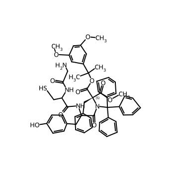 COC(=O)[C@@](Cc1ccccc1)(C(=O)OC(C)(C)c1cc(OC)cc(OC)c1)N(C(=O)C(Cc1ccc(O)cc1)NC(=O)C(CS)NC(=O)CN)C(c1ccccc1)(c1ccccc1)c1ccccc1